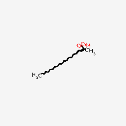 CCCCCCCCCCCCCCCCC=CC=C(C)C(=O)O